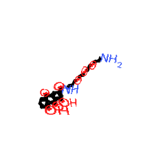 NCCCOCCOCCOCCCNC(=O)c1cc(O)c2c(c1)C(=O)c1cccc(O)c1C2=O